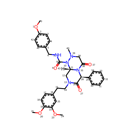 COc1ccc(CNC(=O)N2[C@H]3CN(CCc4ccc(OC)c(OC)c4)C(=O)[C@H](c4ccccc4)N3C(=O)CN2C)cc1